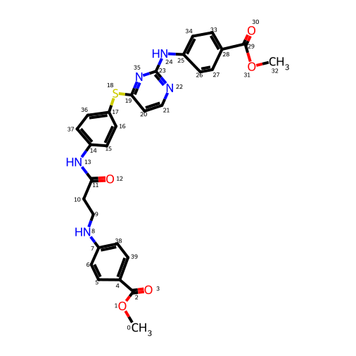 COC(=O)c1ccc(NCCC(=O)Nc2ccc(Sc3ccnc(Nc4ccc(C(=O)OC)cc4)n3)cc2)cc1